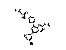 C=CC(=O)Nc1cccc(-c2cc(-c3cncc(CC)c3)cc3cnc(N)nc23)c1